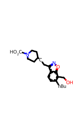 CCCCc1ccc2c(CCC3CCN(C(=O)O)CC3)noc2c1CO